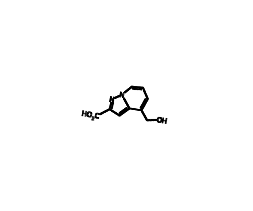 O=C(O)c1cc2c(CO)cccn2n1